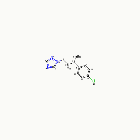 CCCCC([SiH2]Cn1cncn1)c1ccc(Cl)cc1